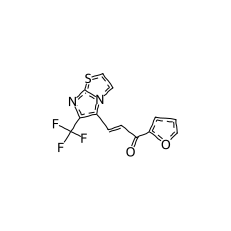 O=C(C=Cc1c(C(F)(F)F)nc2sccn12)c1ccco1